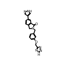 O=C1c2cc(-c3cn[nH]c3)ccc2CN1Cc1cccc(OCc2nn[nH]n2)c1